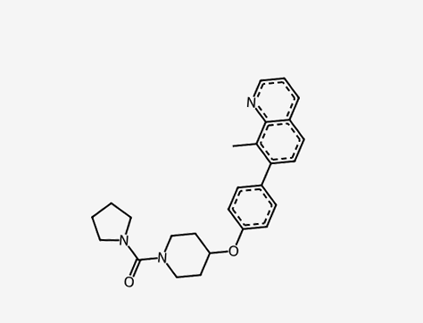 Cc1c(-c2ccc(OC3CCN(C(=O)N4CCCC4)CC3)cc2)ccc2cccnc12